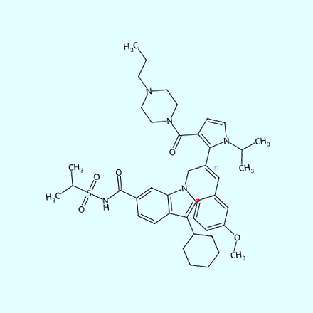 CCCN1CCN(C(=O)c2ccn(C(C)C)c2/C(=C/c2cccc(OC)c2)Cn2cc(C3CCCCC3)c3ccc(C(=O)NS(=O)(=O)C(C)C)cc32)CC1